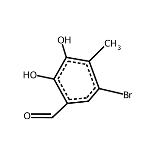 Cc1c(Br)cc(C=O)c(O)c1O